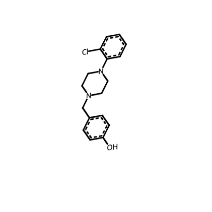 Oc1ccc(CN2CCN(c3ccccc3Cl)CC2)cc1